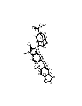 Cn1c(=O)n(C2C3CC4CC2CC(C(=O)O)(C4)C3)c2nc(NC3=CC4CCOC4C=C3Cl)ncc21